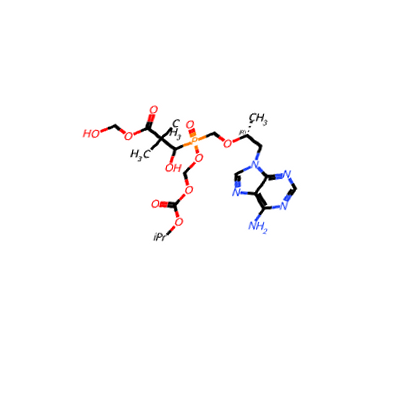 CC(C)OC(=O)OCOP(=O)(CO[C@H](C)Cn1cnc2c(N)ncnc21)C(O)C(C)(C)C(=O)OCO